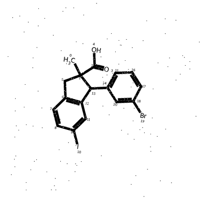 CC1(C(=O)O)Cc2ccc(I)cc2C1c1cccc(Br)c1